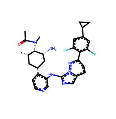 CC(=O)N(C)[C@@H]1[C@H](N)C[C@H](c2ccncc2Nc2ncc3ccc(-c4c(F)cc(C5CC5)cc4F)nn23)C[C@@H]1C